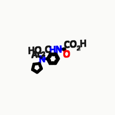 CC(=O)N(c1cccc(NC(=O)C(=O)O)c1C(=O)O)C1CCCC1